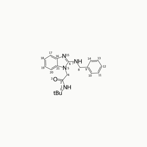 CC(C)(C)NC(=O)Cn1c(NCc2ccccc2)nc2ccccc21